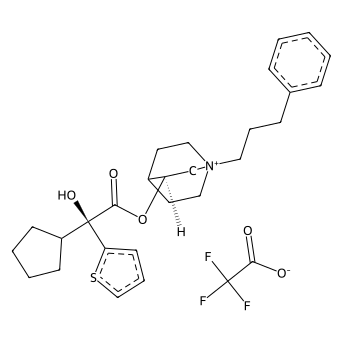 O=C(O[C@@H]1C[N+]2(CCCc3ccccc3)CCC1CC2)[C@](O)(c1cccs1)C1CCCC1.O=C([O-])C(F)(F)F